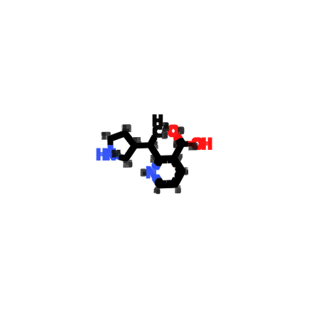 CC(c1ncccc1C(=O)O)C1CCNC1